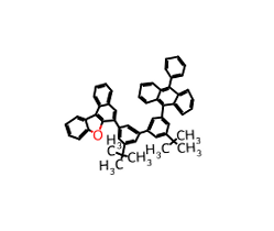 CC(C)(C)c1cc(-c2cc(-c3cc4ccccc4c4c3oc3ccccc34)cc(C(C)(C)C)c2)cc(-c2c3ccccc3c(-c3ccccc3)c3ccccc23)c1